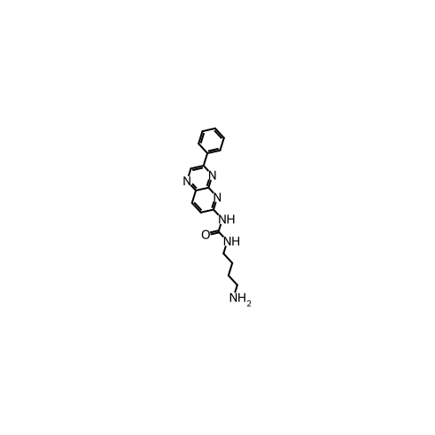 NCCCCNC(=O)Nc1ccc2ncc(-c3ccccc3)nc2n1